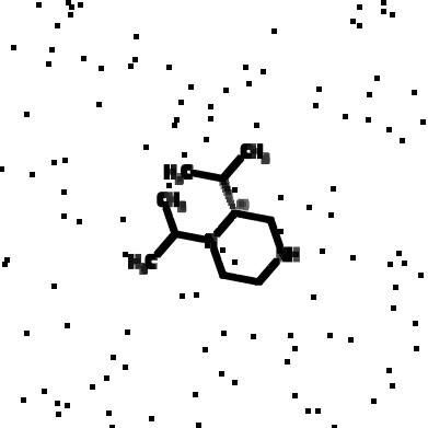 CC(C)[C@@H]1CNCCN1C(C)C